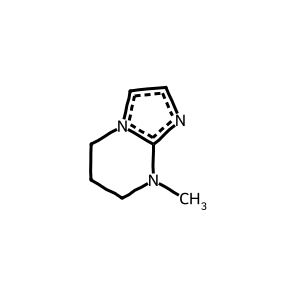 CN1CCCn2ccnc21